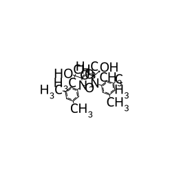 Cc1cc(C)cc(N(ON(C(=O)C(C)(C)O)c2cc(C)cc(C)c2)C(=O)C(C)(C)O)c1